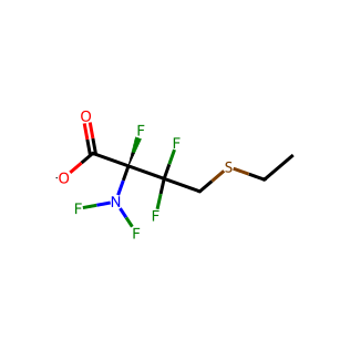 CCSCC(F)(F)[C@@](F)(C([O])=O)N(F)F